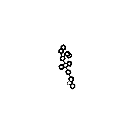 c1ccc2c3c(ccc2c1)-c1ccc(-c2c4ccccc4c(-c4ccc(-c5ccc6c(c5)oc5ccccc56)cc4)c4ccccc24)cc1C31C2CC3CC(C2)CC1C3